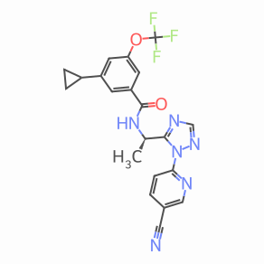 C[C@@H](NC(=O)c1cc(OC(F)(F)F)cc(C2CC2)c1)c1ncnn1-c1ccc(C#N)cn1